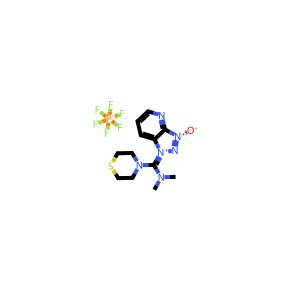 CN(C)C(N1CCSCC1)=[N+]1N=[N+]([O-])c2ncccc21.F[P-](F)(F)(F)(F)F